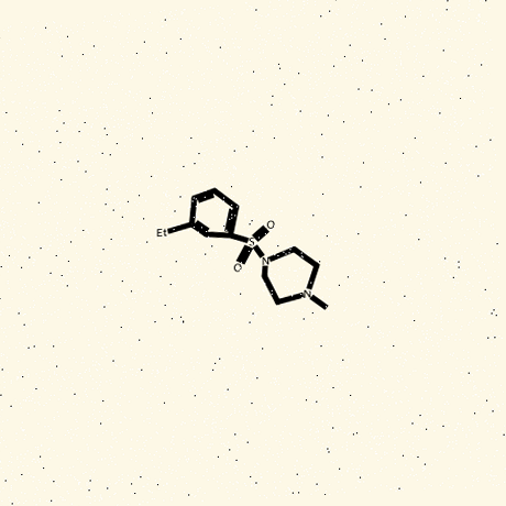 CCc1cccc(S(=O)(=O)N2CCN(C)CC2)c1